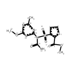 COC(=O)c1sccc1S(=O)(=O)N(C(N)=O)c1nc(C)nc(OC)n1